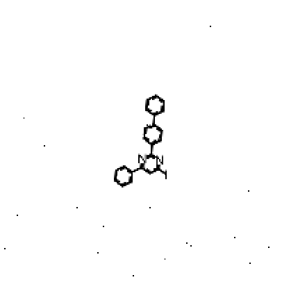 Ic1cc(-c2ccccc2)nc(-c2ccc(-c3ccccc3)cc2)n1